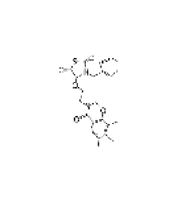 Cc1cc2c(c(C)c1C)OCN(CCOC1C(=O)SC(=O)N1Cc1ccccc1)C2=O